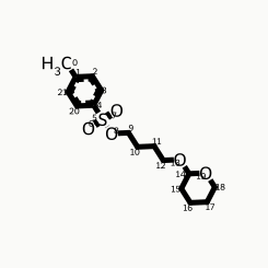 Cc1ccc(S(=O)(=O)OCCCCOC2CCCCO2)cc1